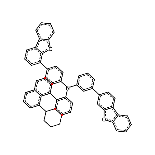 c1cc(-c2ccc3c(c2)oc2ccccc23)cc(N(c2ccc(-c3cccc4c3oc3ccccc34)cc2)c2ccccc2-c2cccc3cccc(C4CCCCC4)c23)c1